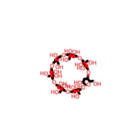 OCC1OC2OC3C(CO)OC(OC4C(CO)OC(OC5CC(O)C(OC5CO)OC5C(CO)OC(OC6C(CO)OC(OC7C(CO)OC(OC1CC2O)C(O)C7O)C(O)C6O)C(O)C5O)C(O)C4O)C(O)C3O